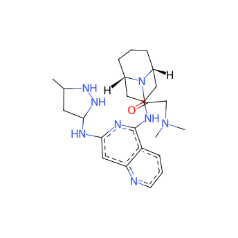 CC1CC(Nc2cc3ncccc3c(NC3C[C@H]4CCC[C@@H](C3)N4C(=O)CN(C)C)n2)NN1